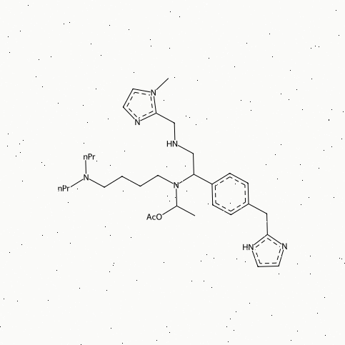 CCCN(CCC)CCCCN(C(C)OC(C)=O)C(CNCc1nccn1C)c1ccc(Cc2ncc[nH]2)cc1